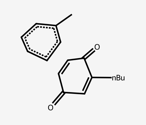 CCCCC1=CC(=O)C=CC1=O.Cc1ccccc1